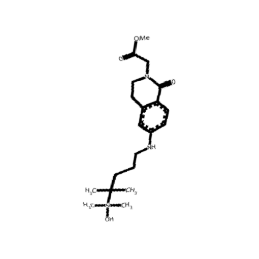 COC(=O)CN1CCc2cc(NCCCC(C)(C)[Si](C)(C)O)ccc2C1=O